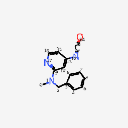 CN(Cc1ccccc1)c1cc(N=C=O)ccn1